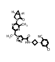 Cc1nc([C@@H](C)n2cc(C(=O)N[C@H]3C[C@@H](c4cc(Cl)ccc4C#N)C3)nn2)cnc1N1C[C@H]2C[C@H]2C1=O